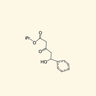 CC(C)OC(=O)CC(=O)CC(O)c1ccccc1